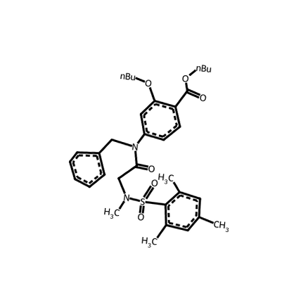 CCCCOC(=O)c1ccc(N(Cc2ccccc2)C(=O)CN(C)S(=O)(=O)c2c(C)cc(C)cc2C)cc1OCCCC